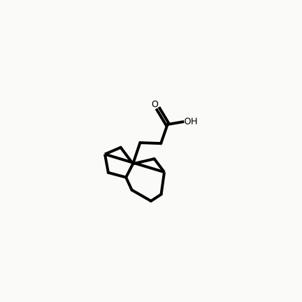 O=C(O)CCC12CC3CCCC1CC3C2